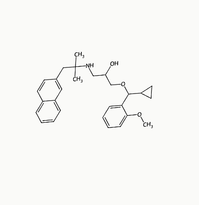 COc1ccccc1C(OCC(O)CNC(C)(C)Cc1ccc2ccccc2c1)C1CC1